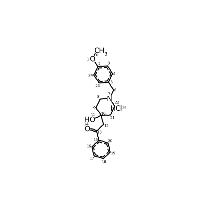 COc1ccc(CN2CCC(O)(CC(=O)c3ccccc3)CC2)cc1.Cl